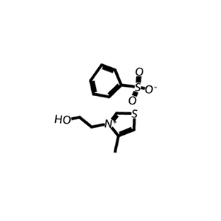 Cc1csc[n+]1CCO.O=S(=O)([O-])c1ccccc1